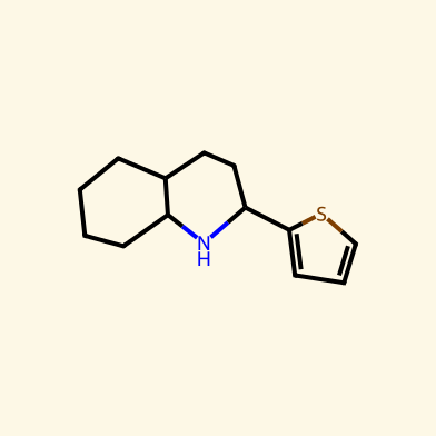 c1csc(C2CCC3CCCCC3N2)c1